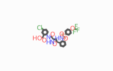 O=C(Nc1ccc(Cl)cc1C(=O)O)c1cc(-c2ccccc2NS(=O)(=O)c2ccc(OC(F)(F)F)cc2)on1